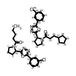 CCCCC(=O)N1CCCC1c1nnc(-c2cccc(Cl)c2)o1.O=C(CCC1CCCC1)N1CCCC1c1nnc(-c2cccc(Cl)c2)o1